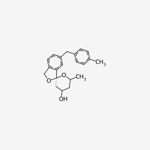 Cc1ccc(Cc2ccc3c(c2)[C@]2(CC(O)CC(C)O2)OC3)cc1